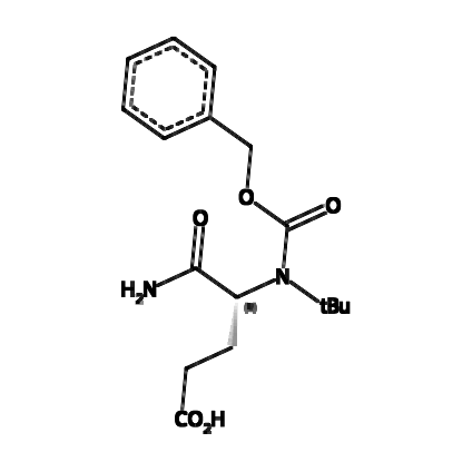 CC(C)(C)N(C(=O)OCc1ccccc1)[C@H](CCC(=O)O)C(N)=O